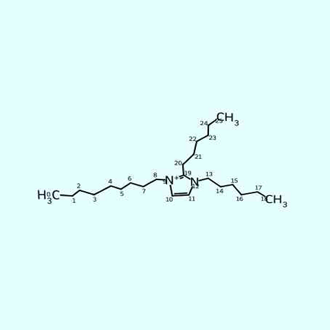 CCCCCCCCC[n+]1ccn(CCCCCC)c1CCCCCC